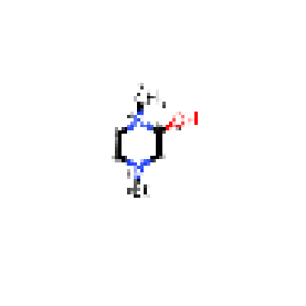 CCN1CCN(C)C(O)C1